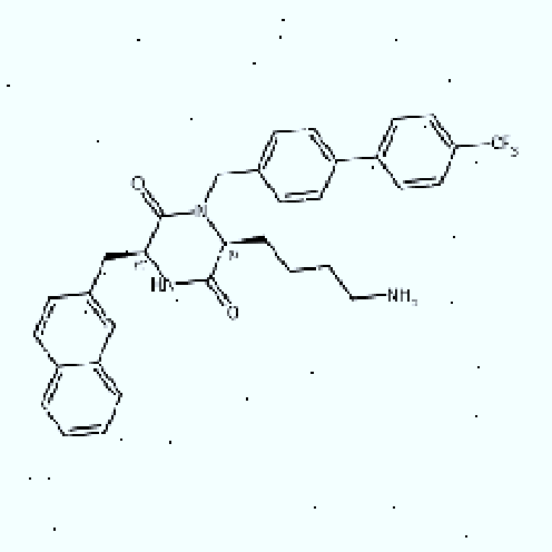 NCCCC[C@H]1C(=O)N[C@@H](Cc2ccc3ccccc3c2)C(=O)N1Cc1ccc(-c2ccc(C(F)(F)F)cc2)cc1